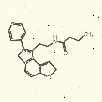 CCCC(=O)NCCC1=C(c2ccccc2)CC2=C1C1=CCOC1C=C2